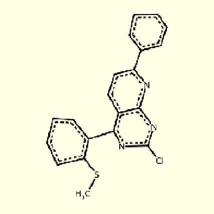 CSc1ccccc1-c1nc(Cl)nc2nc(-c3ccccc3)ccc12